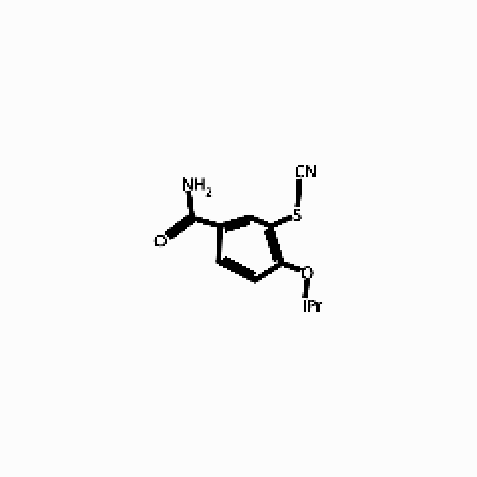 CC(C)Oc1ccc(C(N)=O)cc1SC#N